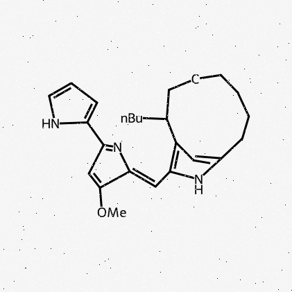 CCCCC1CCCCCCc2cc1c(C=C1N=C(c3ccc[nH]3)C=C1OC)[nH]2